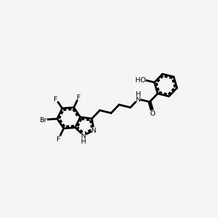 O=C(NCCCCc1n[nH]c2c(F)c(Br)c(F)c(F)c12)c1ccccc1O